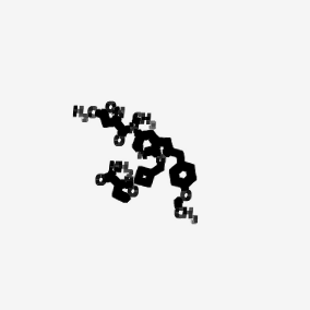 CCOc1ccc(Cc2cc3cc(N(C)C(=O)c4cc(C)on4)cnc3n2CC2CCC2)cc1.NC(=O)c1ccon1